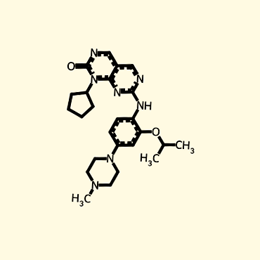 CC(C)Oc1cc(N2CCN(C)CC2)ccc1Nc1ncc2cnc(=O)n(C3CCCC3)c2n1